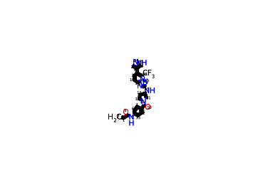 C=CC(=O)Nc1ccc(C(=O)N2CC[C@@H](Nc3nc4ccc(-c5cn[nH]c5)c(C(F)(F)F)n4n3)C2)cc1